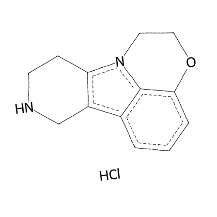 Cl.c1cc2c3c(c1)c1c(n3CCO2)CCNC1